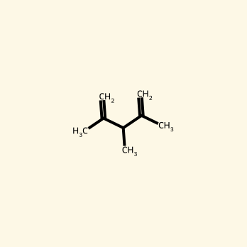 C=C(C)C(C)C(=C)C